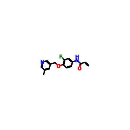 C=CC(=O)Nc1ccc(OCc2cncc(C)c2)c(F)c1